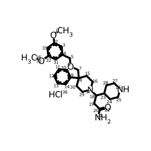 COc1cc(COCC2(c3ccccc3)CCN(C(CC(N)=O)C3CCNCC3)CC2)cc(OC)c1.Cl